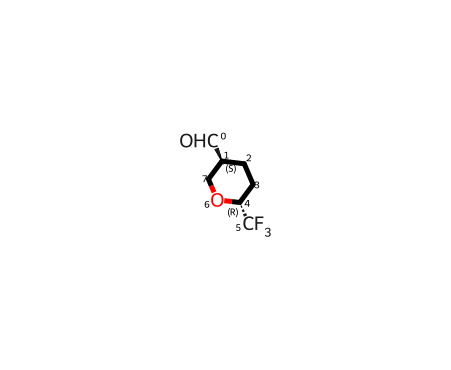 O=C[C@H]1CC[C@H](C(F)(F)F)OC1